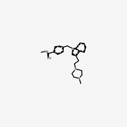 CNC(=P)c1ccc(Cn2cc(CCN3CCN(C)CC3)c3ccccc32)cc1